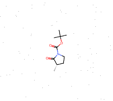 C[C@H]1CCN(C(=O)OC(C)(C)C)C1=O